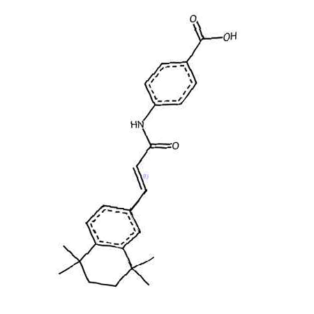 CC1(C)CCC(C)(C)c2cc(/C=C/C(=O)Nc3ccc(C(=O)O)cc3)ccc21